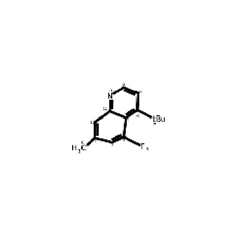 Cc1cc(F)c2c(C(C)(C)C)ccnc2c1